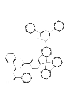 C=C(/N=C(\N=C(/C)C1=CC2=C(CC1)C1(c3ccc(C4N=C(c5ccccc5)N=C(c5ccccc5)N4)cc32)c2ccccc2-c2ccccc21)C1=CCCC=C1)c1ccccc1